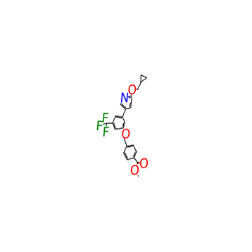 COC(=O)c1ccc(COc2cc(-c3ccc(OCC4CC4)nc3)cc(C(F)(F)F)c2)cc1